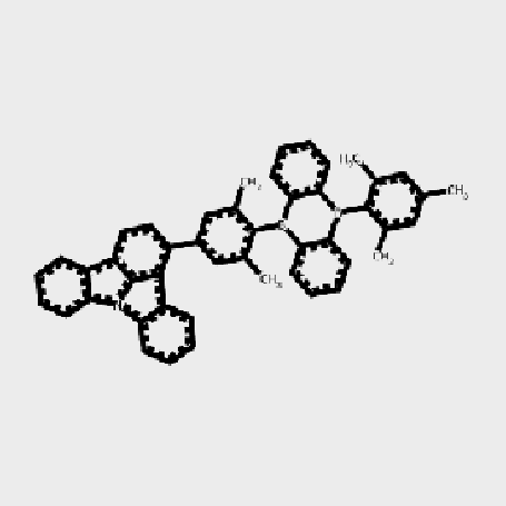 Cc1cc(C)c(B2c3ccccc3B(c3c(C)cc(-c4ccc5c6ccccc6n6c7ccccc7c4c56)cc3C)c3ccccc32)c(C)c1